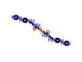 C[n+]1ccc(/N=N/c2ccc(NCCCNC(=O)CCSSCCC(=O)NCCCNc3ccc(/N=N/c4ccncc4)cc3)cc2)cc1